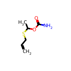 C=CCSC(C)OC(N)=O